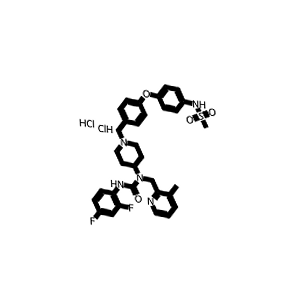 Cc1cccnc1CN(C(=O)Nc1ccc(F)cc1F)C1CCN(Cc2ccc(Oc3ccc(NS(C)(=O)=O)cc3)cc2)CC1.Cl.Cl